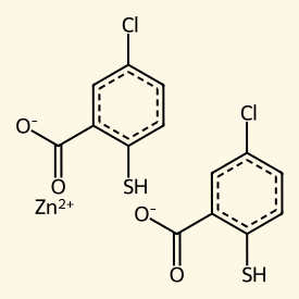 O=C([O-])c1cc(Cl)ccc1S.O=C([O-])c1cc(Cl)ccc1S.[Zn+2]